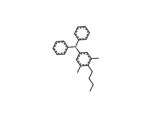 CCCCc1c(C)cc([S+](c2ccccc2)c2ccccc2)cc1C